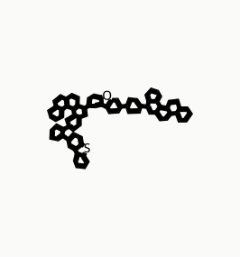 c1ccc(-c2ccc3cc(-c4ccc5oc6cc(-c7ccc(-c8cc9ccc%10c%11ccccc%11ccc%10c9c9ccccc89)cc7)ccc6c5c4)c4ccc5ccc6ccccc6c5c4c3c2)c(-c2ccc3sc4ccccc4c3c2)c1